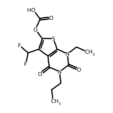 CCCn1c(=O)c2c(C(F)F)c(OC(=O)O)sc2n(CC)c1=O